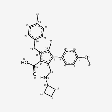 COc1ccc(-c2c(CNC3CCC3)c(C(=O)O)n(Cc3ccc(C)cc3)c2C)cc1